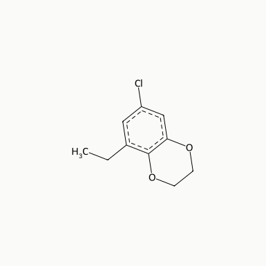 CCc1cc(Cl)cc2c1OCCO2